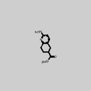 COC(=O)C1CCc2nc(NC(C)=O)ccc2C1